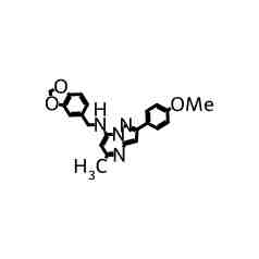 COc1ccc(-c2cc3nc(C)cc(NCc4ccc5c(c4)OCO5)n3n2)cc1